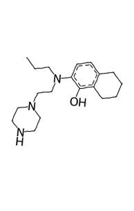 CCCN(CCN1CCNCC1)c1ccc2c(c1O)CCCC2